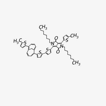 CCCCCCCCN1C(=O)C2=C(c3ccc(-c4ccc(C5=CC=CC6=C(c7ccc(C)s7)C=CC=C5C6)s4)s3)N(CCCCCCCC)C(=O)C2=C1c1ccc(C)s1